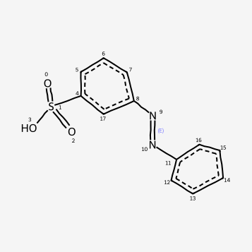 O=S(=O)(O)c1cccc(/N=N/c2ccccc2)c1